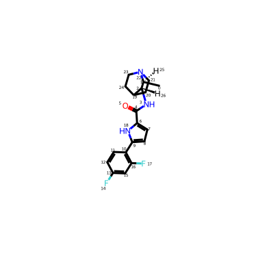 C[C@H]1[C@H](NC(=O)c2ccc(-c3ccc(F)cc3F)[nH]2)C2CCN1CC2